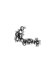 COc1cc(C)c(S(=O)(=O)N2CCCCC2COCC(=O)N2CCN(CCn3c(C)ccc3C)CC2)c(C)c1